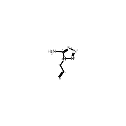 C=CCn1nnnc1N